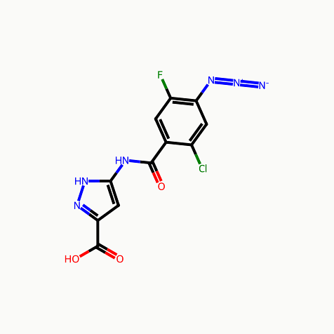 [N-]=[N+]=Nc1cc(Cl)c(C(=O)Nc2cc(C(=O)O)n[nH]2)cc1F